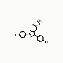 COC(=O)Cc1sc(-c2ccc(F)cc2)nc1-c1ccc(Cl)cc1